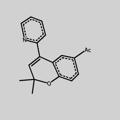 CC(=O)c1ccc2c(c1)C(c1ccccn1)=CC(C)(C)O2